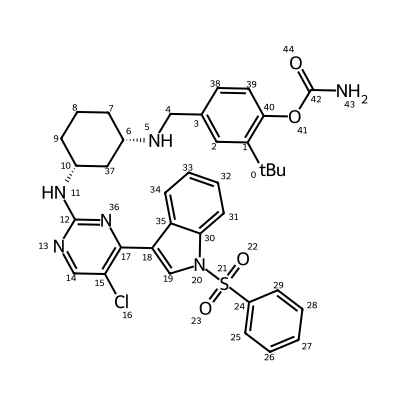 CC(C)(C)c1cc(CN[C@H]2CCC[C@@H](Nc3ncc(Cl)c(-c4cn(S(=O)(=O)c5ccccc5)c5ccccc45)n3)C2)ccc1OC(N)=O